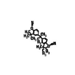 CC(C)(C)c1cc(C(C)(C)c2ccc(OC#N)c(C(C)(C)C)c2)ccc1OC#N